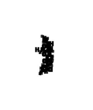 CN1CC(NC(=O)c2ncn(C3CCC4(CC3)CCN(c3ccc(F)cc3Cl)C4=O)c2C(N)=O)C1